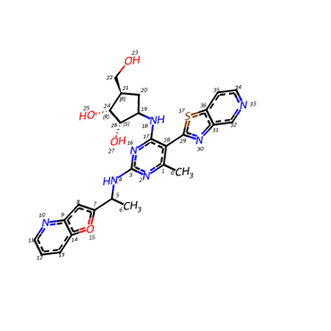 Cc1nc(NC(C)c2cc3ncccc3o2)nc(NC2C[C@H](CO)[C@@H](O)[C@H]2O)c1-c1nc2cnccc2s1